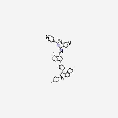 C=N/C(=C\C(=N/Cc1ccc(-c2ccc(-c3cc(C4=CCC(C)C=C4)nc4ccc5ccccc5c34)cc2)c2c1C(C)CC=C2)c1ccncc1)c1ccncc1